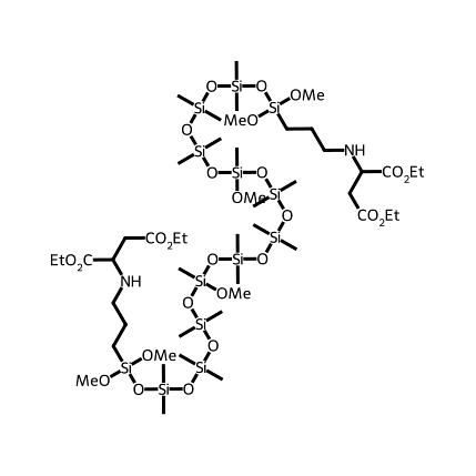 CCOC(=O)CC(NCCC[Si](OC)(OC)O[Si](C)(C)O[Si](C)(C)O[Si](C)(C)O[Si](C)(OC)O[Si](C)(C)O[Si](C)(C)O[Si](C)(C)O[Si](C)(OC)O[Si](C)(C)O[Si](C)(C)O[Si](C)(C)O[Si](CCCNC(CC(=O)OCC)C(=O)OCC)(OC)OC)C(=O)OCC